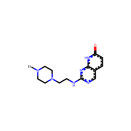 CCN1CCN(CCNc2ncc3ccc(=O)[nH]c3n2)CC1